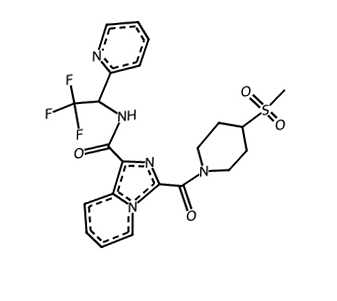 CS(=O)(=O)C1CCN(C(=O)c2nc(C(=O)NC(c3ccccn3)C(F)(F)F)c3ccccn23)CC1